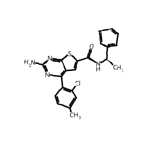 Cc1ccc(-c2nc(N)nc3sc(C(=O)N[C@H](C)c4ccccc4)cc23)c(Cl)c1